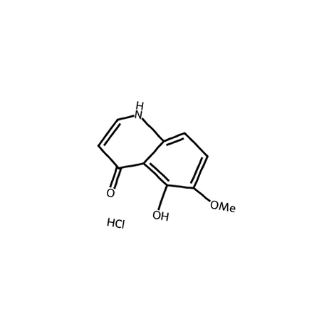 COc1ccc2[nH]ccc(=O)c2c1O.Cl